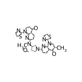 Cc1cn(-c2nccs2)c2nc(N3C[C@H](C=O)[C@@H](N(C)c4ccc5c(=O)ccn(-c6nccs6)c5n4)C3)ccc2c1=O